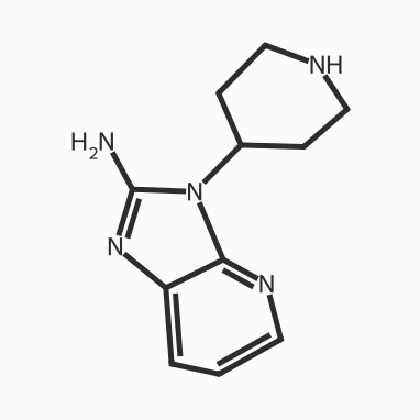 Nc1nc2cccnc2n1C1CCNCC1